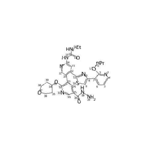 CCCOc1ncccc1-c1csc(-c2cc(NC(=O)NCC)ncc2-c2cc(C(=O)NN)cnc2OC2CCOCC2)n1